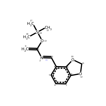 C=C(/N=C/c1cccc2c1OCO2)O[Si](C)(C)C